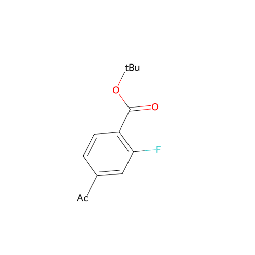 CC(=O)c1ccc(C(=O)OC(C)(C)C)c(F)c1